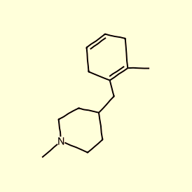 CC1=C(CC2CCN(C)CC2)CC=CC1